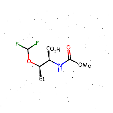 CC[C@@H](OC(F)F)[C@H](NC(=O)OC)C(=O)O